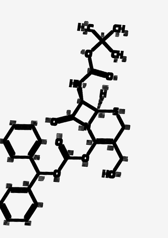 CC(C)(C)OC(=O)N[C@@H]1C(=O)N2C(OC(=O)OC(c3ccccc3)c3ccccc3)=C(CO)CS[C@H]12